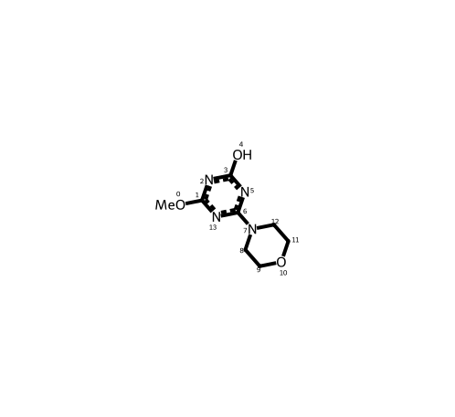 COc1nc(O)nc(N2CCOCC2)n1